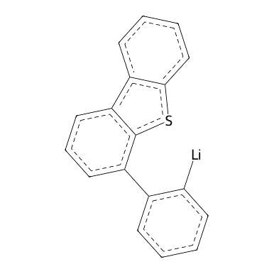 [Li][c]1ccccc1-c1cccc2c1sc1ccccc12